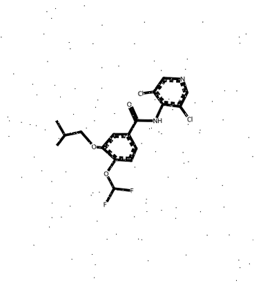 CC(C)COc1cc(C(=O)Nc2c(Cl)cncc2Cl)ccc1OC(F)F